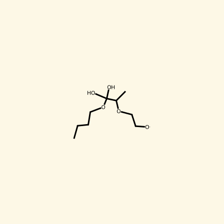 CCCCOC(O)(O)C(C)OCC[O]